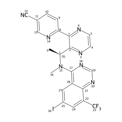 C[C@@H](c1nccnc1-c1ccc(C#N)cn1)N(C)c1ncnc2c(C(F)(F)F)cc(I)cc12